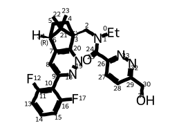 CCN(C[C@@]12CC[C@@H](c3cc(-c4c(F)cccc4F)nnc31)C2(C)C)C(=O)c1ccc(CO)nn1